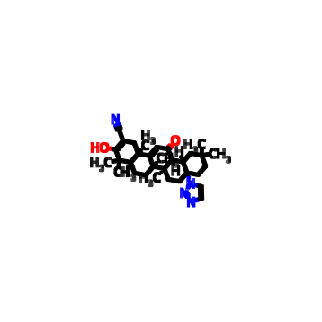 CC1(C)CC[C@]2(n3ccnn3)CC[C@]3(C)[C@H](C(=O)C=C4[C@@]5(C)CC(C#N)=C(O)C(C)(C)[C@@H]5CC[C@]43C)[C@@H]2C1